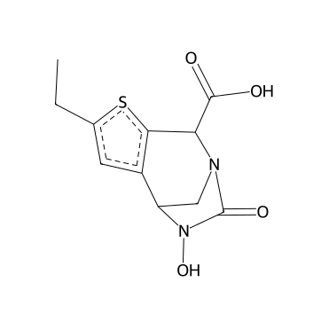 CCc1cc2c(s1)C(C(=O)O)N1CC2N(O)C1=O